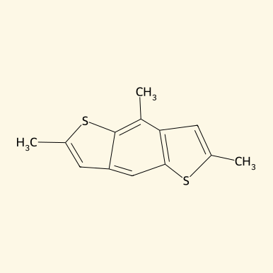 Cc1cc2c(C)c3sc(C)cc3cc2s1